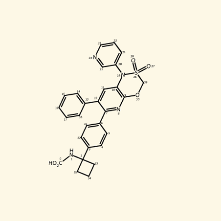 O=C(O)NC1(c2ccc(-c3nc4c(cc3-c3ccccc3)N(c3cccnc3)S(=O)(=O)CO4)cc2)CCC1